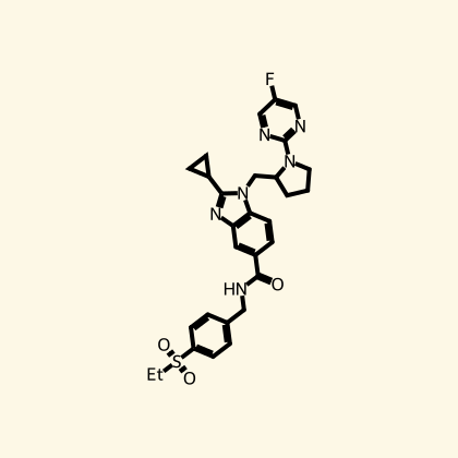 CCS(=O)(=O)c1ccc(CNC(=O)c2ccc3c(c2)nc(C2CC2)n3CC2CCCN2c2ncc(F)cn2)cc1